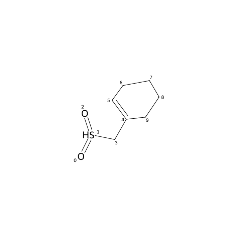 O=[SH](=O)CC1=CCCCC1